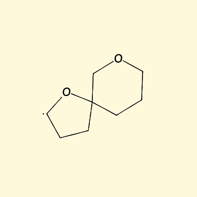 [CH]1CCC2(CCCOC2)O1